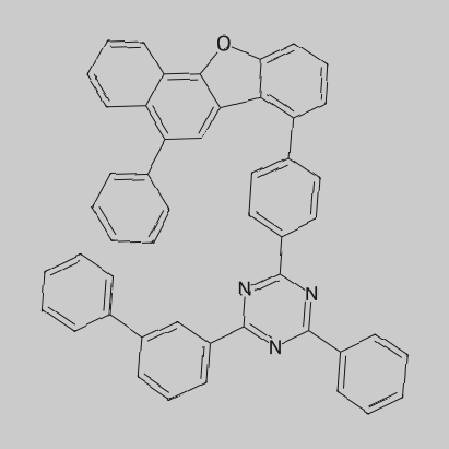 c1ccc(-c2cccc(-c3nc(-c4ccccc4)nc(-c4ccc(-c5cccc6oc7c8ccccc8c(-c8ccccc8)cc7c56)cc4)n3)c2)cc1